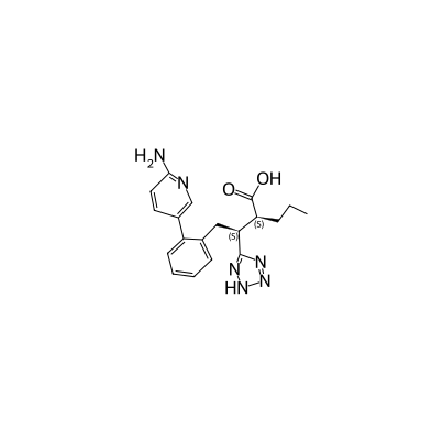 CCC[C@H](C(=O)O)[C@H](Cc1ccccc1-c1ccc(N)nc1)c1nn[nH]n1